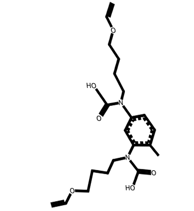 C=COCCCCN(C(=O)O)c1ccc(C)c(N(CCCCOC=C)C(=O)O)c1